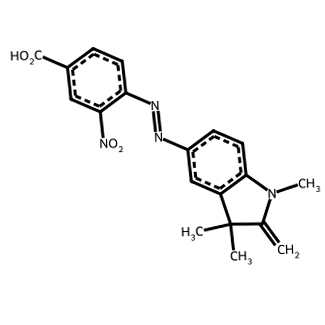 C=C1N(C)c2ccc(N=Nc3ccc(C(=O)O)cc3[N+](=O)[O-])cc2C1(C)C